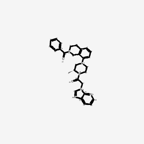 C[C@@H]1CN(c2cccc3c2CN(C(=O)c2ccccc2)CC3)CCN1C(=O)Cn1cnc2cccnc21